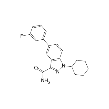 NC(=O)c1nn(C2CCCCC2)c2ccc(-c3cccc(F)c3)cc12